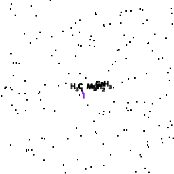 CI.[GaH3].[MgH2]